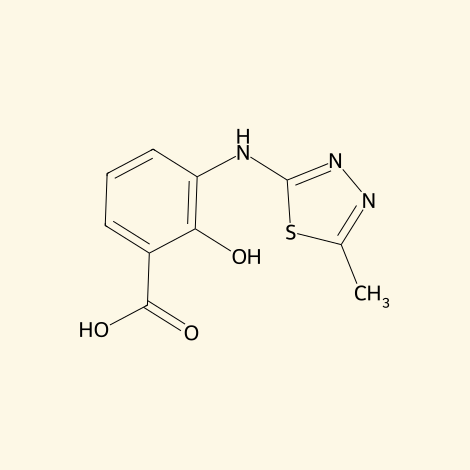 Cc1nnc(Nc2cccc(C(=O)O)c2O)s1